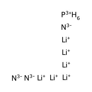 [Li+].[Li+].[Li+].[Li+].[Li+].[Li+].[N-3].[N-3].[N-3].[PH6+3]